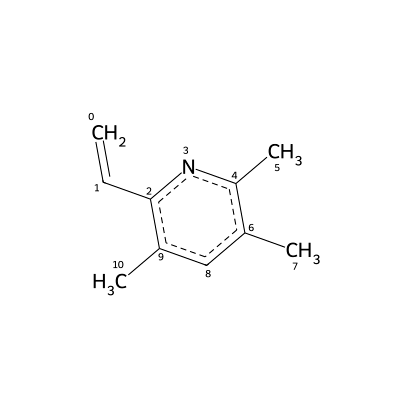 C=Cc1nc(C)c(C)cc1C